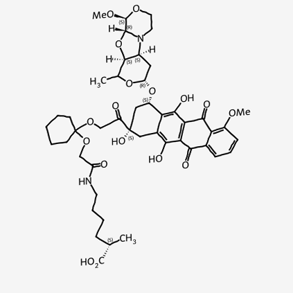 COc1cccc2c1C(=O)c1c(O)c3c(c(O)c1C2=O)C[C@@](O)(C(=O)COC1(OCC(=O)NCCCC[C@H](C)C(=O)O)CCCCC1)C[C@@H]3O[C@H]1C[C@H]2[C@H](O[C@@H]3[C@@H](OC)OCCN32)C(C)O1